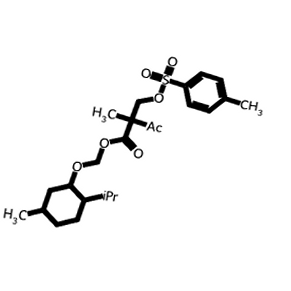 CC(=O)C(C)(COS(=O)(=O)c1ccc(C)cc1)C(=O)OCOC1CC(C)CCC1C(C)C